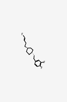 FC=CCC[C@H]1CC[C@H](CCc2ccc(F)c(F)c2)CC1